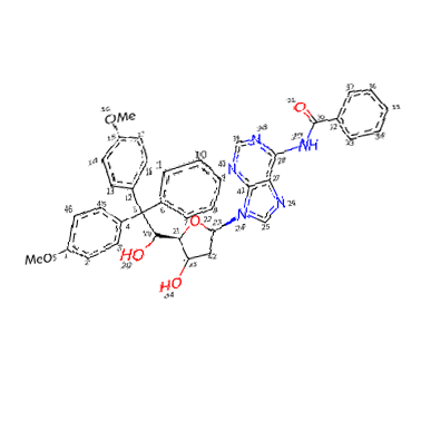 COc1ccc(C(c2ccccc2)(c2ccc(OC)cc2)C(O)[C@H]2O[C@@H](n3cnc4c(NC(=O)c5ccccc5)ncnc43)C[C]2O)cc1